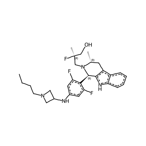 CCCCN1CC(Nc2cc(F)c([C@@H]3c4[nH]c5ccccc5c4C[C@@H](C)N3C[C@@](C)(F)CO)c(F)c2)C1